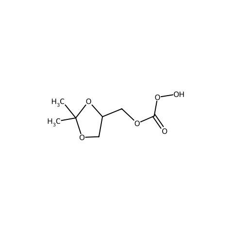 CC1(C)OCC(COC(=O)OO)O1